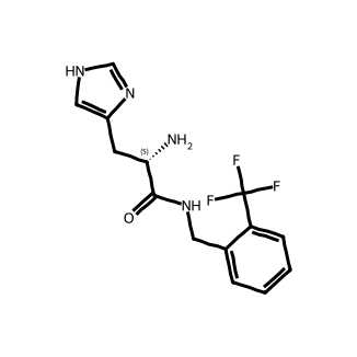 N[C@@H](Cc1c[nH]cn1)C(=O)NCc1ccccc1C(F)(F)F